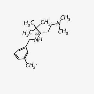 [CH2]c1cccc(CN[C@@H](CCN(C)C)C(C)(C)C)c1